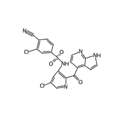 N#Cc1ccc(S(=O)(=O)Nc2cc(Cl)cnc2C(=O)c2ccnc3[nH]ccc23)cc1Cl